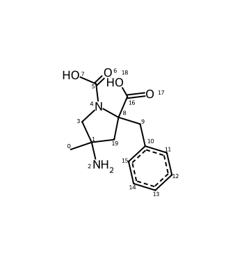 CC1(N)CN(C(=O)O)C(Cc2ccccc2)(C(=O)O)C1